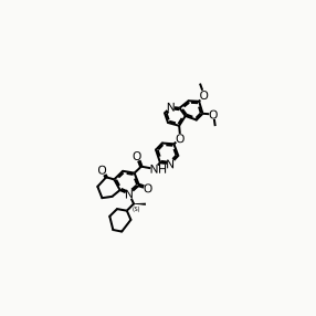 COc1cc2nccc(Oc3ccc(NC(=O)c4cc5c(n([C@@H](C)C6CCCCC6)c4=O)CCCC5=O)nc3)c2cc1OC